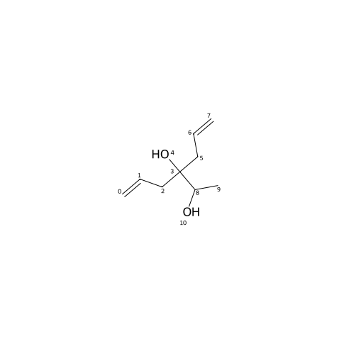 C=CCC(O)(CC=C)C(C)O